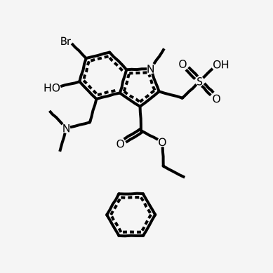 CCOC(=O)c1c(CS(=O)(=O)O)n(C)c2cc(Br)c(O)c(CN(C)C)c12.c1ccccc1